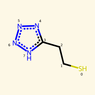 SCCc1nnn[nH]1